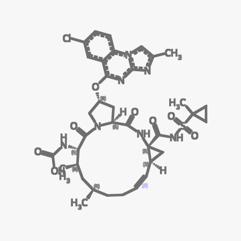 Cc1cn2c(n1)nc(O[C@@H]1C[C@H]3C(=O)N[C@]4(C(=O)NS(=O)(=O)C5(C)CC5)C[C@H]4/C=C\CC[C@@H](C)C[C@@H](C)[C@H](NC(=O)O)C(=O)N3C1)c1cc(Cl)ccc12